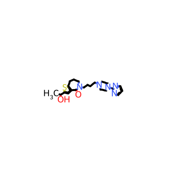 CC(O)c1cc2c(s1)CCCN(CCCCN1CCN(c3ncccn3)CC1)C2=O